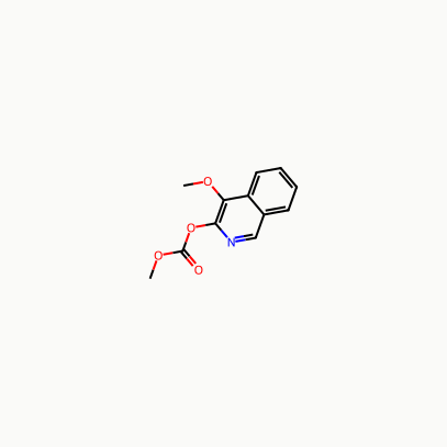 COC(=O)Oc1ncc2ccccc2c1OC